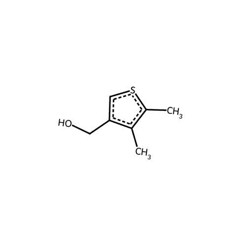 Cc1scc(CO)c1C